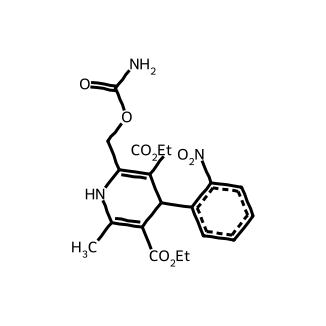 CCOC(=O)C1=C(C)NC(COC(N)=O)=C(C(=O)OCC)C1c1ccccc1[N+](=O)[O-]